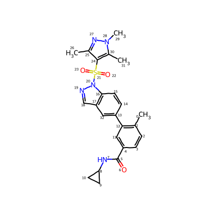 Cc1ccc(C(=O)NC2CC2)cc1-c1ccc2c(cnn2S(=O)(=O)c2c(C)nn(C)c2C)c1